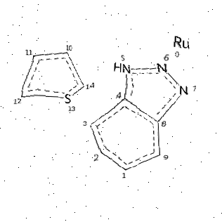 [Ru].c1ccc2[nH]nnc2c1.c1ccsc1